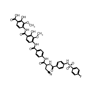 COc1c(NC(=O)c2ccc(NC(=O)c3ccc(NC(=O)C(CC#N)NC(=O)c4ccc(NS(=O)(=O)c5ccc(F)cc5)cc4)cc3)c(OC)c2O)ccc(C(=O)O)c1O